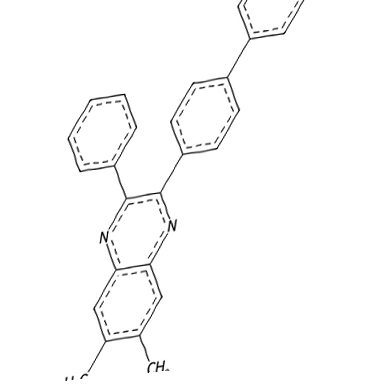 Cc1cc2nc(-c3ccccc3)c(-c3ccc(-c4cccnc4)cc3)nc2cc1C